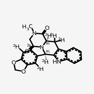 [2H]c1c([2H])c([C@]2([2H])c3[nH]c4ccccc4c3C([2H])([2H])[C@]3([2H])C(=O)N(C)CC(=O)N23)c([2H])c2c1OCO2